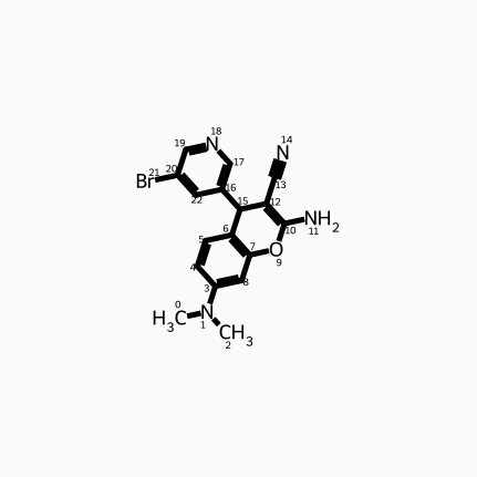 CN(C)c1ccc2c(c1)OC(N)=C(C#N)C2c1cncc(Br)c1